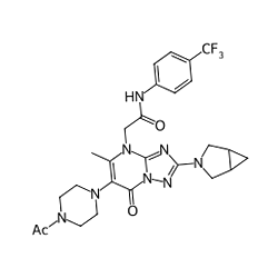 CC(=O)N1CCN(c2c(C)n(CC(=O)Nc3ccc(C(F)(F)F)cc3)c3nc(N4CC5CC5C4)nn3c2=O)CC1